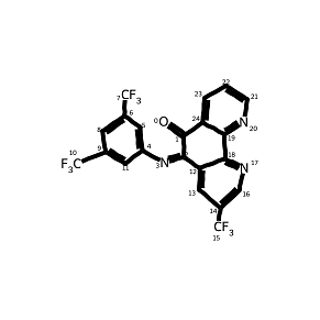 O=C1C(=Nc2cc(C(F)(F)F)cc(C(F)(F)F)c2)c2cc(C(F)(F)F)cnc2-c2ncccc21